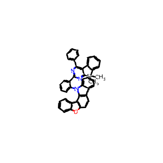 C[Si]1(C)c2ccccc2-c2c(-c3ccccc3)nc(-c3ccccc3-n3c4ccccc4c4ccc5oc6ccccc6c5c43)nc21